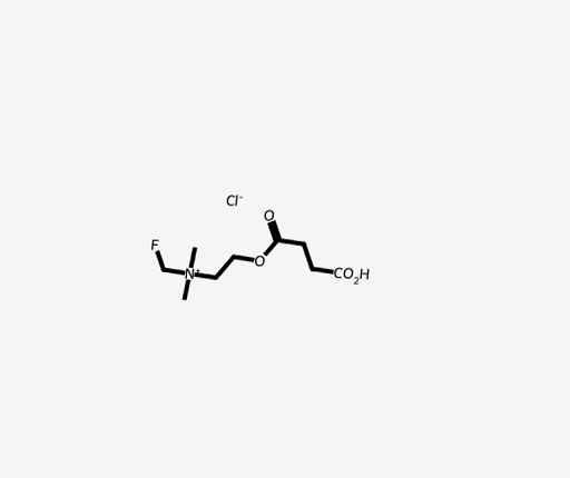 C[N+](C)(CF)CCOC(=O)CCC(=O)O.[Cl-]